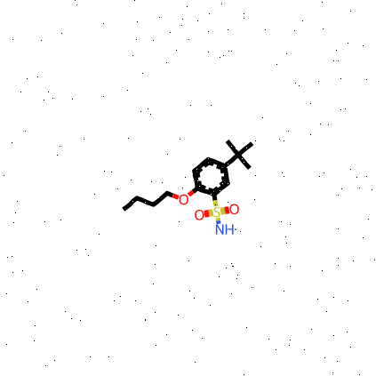 CCCCOc1ccc(C(C)(C)C)cc1S([NH])(=O)=O